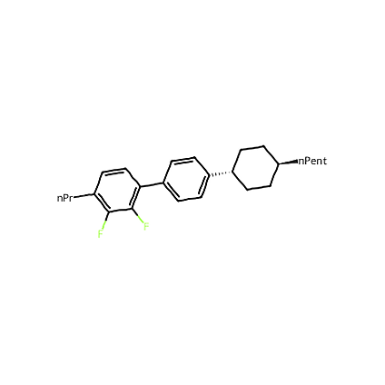 CCCCC[C@H]1CC[C@H](c2ccc(-c3ccc(CCC)c(F)c3F)cc2)CC1